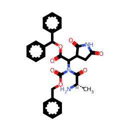 C[C@H](N)C(=O)N(C(=O)OCc1ccccc1)C(C(=O)OC(c1ccccc1)c1ccccc1)C1CC(=O)NC1=O